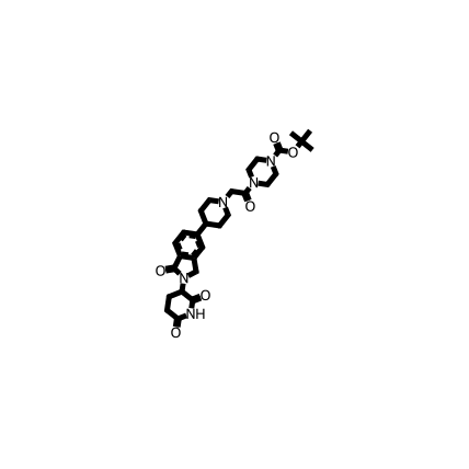 CC(C)(C)OC(=O)N1CCN(C(=O)CN2CCC(c3ccc4c(c3)CN(C3CCC(=O)NC3=O)C4=O)CC2)CC1